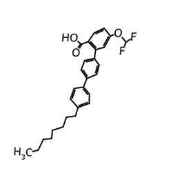 CCCCCCCCc1ccc(-c2ccc(-c3cc(OC(F)F)ccc3C(=O)O)cc2)cc1